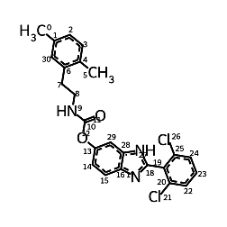 Cc1ccc(C)c(CCNC(=O)Oc2ccc3nc(-c4c(Cl)cccc4Cl)[nH]c3c2)c1